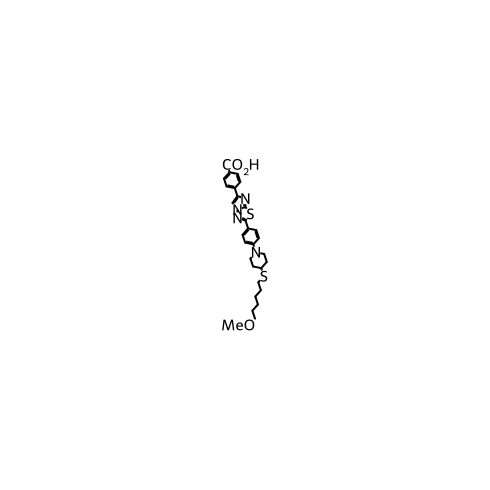 COCCCCCCSC1CCN(c2ccc(-c3nn4cc(-c5ccc(C(=O)O)cc5)nc4s3)cc2)CC1